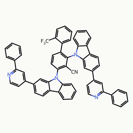 N#Cc1c(-n2c3ccccc3c3ccc(-c4ccnc(-c5ccccc5)c4)cc32)ccc(-c2ccccc2C(F)(F)F)c1-n1c2ccccc2c2ccc(-c3ccnc(-c4ccccc4)c3)cc21